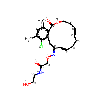 Cc1cc(C)c2c(c1Cl)CC(=N\OCC(=O)NCCO)/C=C/CC/C=C/CCOC2=O